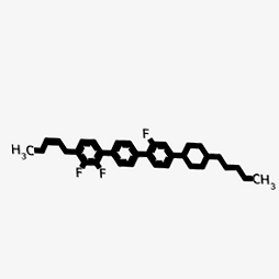 CC/C=C\Cc1ccc(-c2ccc(-c3ccc(C4CCC(CCCCC)CC4)cc3F)cc2)c(F)c1F